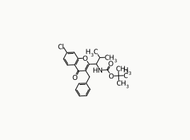 CC(C)C(NC(=O)OC(C)(C)C)c1oc2cc(Cl)ccc2c(=O)c1Cc1ccccc1